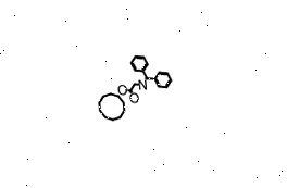 O=C(CN=C(c1ccccc1)c1ccccc1)OC1CCCCCCCCC1